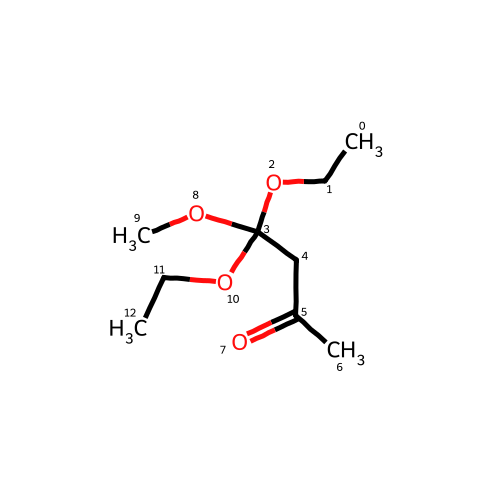 CCOC(CC(C)=O)(OC)OCC